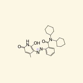 Cc1cc(=O)[nH]c(O)c1/N=N/c1ccccc1C(=O)N(C1CCCCC1)C1CCCCC1